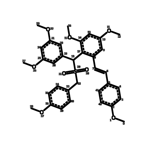 COc1ccc(/C=C/c2cc(OC)cc(OC)c2C(c2cc(OC)cc(OC)c2)S(=O)(=O)Cc2ccc(OC)cc2)cc1